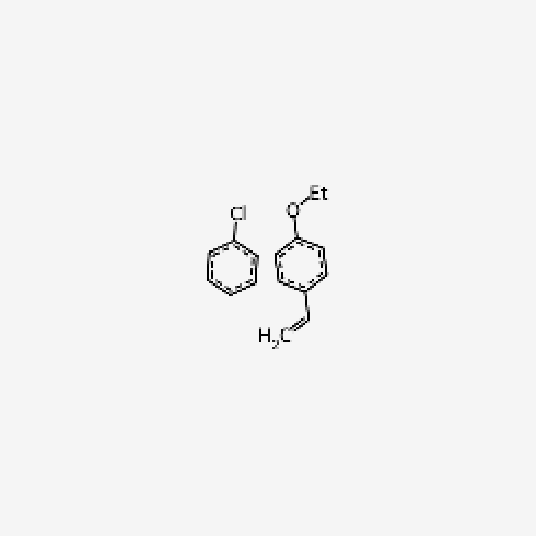 C=Cc1ccc(OCC)cc1.Clc1ccccc1